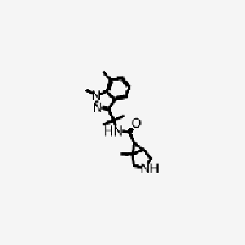 Cc1cccc2c(C(C)(C)NC(=O)C3C4CNCC43C)nn(C)c12